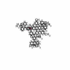 Cc1cc(C)c(N2c3cc4c(cc3B3c5cc6c(cc5N(c5c(C)cc(C)cc5C)c5cc(N7c8ccccc8[Si](C)(C)c8ccccc87)cc2c53)Oc2cc(N3c5ccccc5[Si](C)(C)c5ccccc53)cc3c2B6c2ccccc2O3)B2c3ccccc3Oc3cc(N5c6ccccc6[Si](C)(C)c6ccccc65)cc(c32)N4)c(C)c1